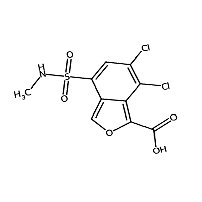 CNS(=O)(=O)c1cc(Cl)c(Cl)c2c(C(=O)O)occ12